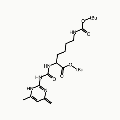 C=C1C=C(C)NC(NC(=O)N[C@@H](CCCCNC(=O)OC(C)(C)C)C(=O)OC(C)(C)C)=N1